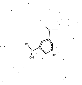 CN(C)c1cccc(B(O)O)c1.Cl